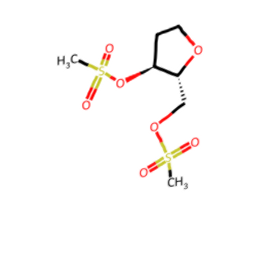 CS(=O)(=O)OC[C@H]1OCC[C@@H]1OS(C)(=O)=O